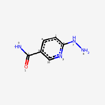 [NH]C(=O)c1ccc(NN)nc1